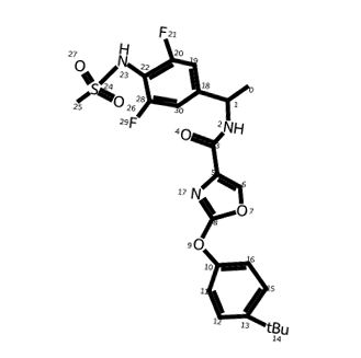 CC(NC(=O)c1coc(Oc2ccc(C(C)(C)C)cc2)n1)c1cc(F)c(NS(C)(=O)=O)c(F)c1